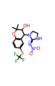 CC1(C)Oc2ccc(SC(F)(F)F)cc2C(N2CCN/C2=N\[N+](=O)[O-])C1O